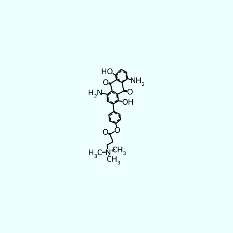 C[N+](C)(C)CCC(=O)Oc1ccc(-c2cc(N)c3c(c2O)C(=O)c2c(N)ccc(O)c2C3=O)cc1